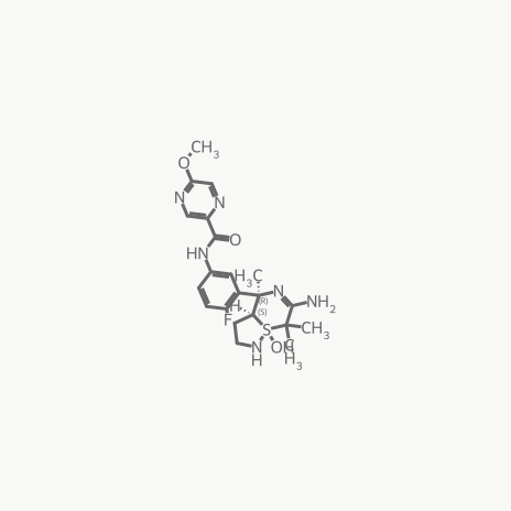 COc1cnc(C(=O)Nc2ccc(F)c([C@@]3(C)N=C(N)C(C)(C)S4(O)NCC[C@@H]34)c2)cn1